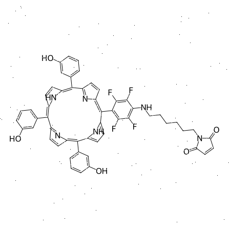 O=C1C=CC(=O)N1CCCCCCNc1c(F)c(F)c(-c2c3nc(c(-c4cccc(O)c4)c4ccc([nH]4)c(-c4cccc(O)c4)c4nc(c(-c5cccc(O)c5)c5ccc2[nH]5)C=C4)C=C3)c(F)c1F